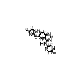 Cc1cnc(Nc2ncnc3ccc(Sc4nc(C)c[nH]4)nc23)cn1